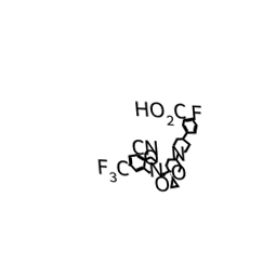 N#Cc1cc(C(F)(F)F)cc2c1OCN(C(=O)[C@@]1(C3CC3)CCC(N3CCC(c4ccc(F)c(C(=O)O)c4)CC3)CO1)C2